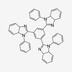 C1=CC2N=C(c3cc(C4=NC5C=CC=CC5N4c4ccccc4)cc(C4=NC5C=CC=CC5N4c4ccccc4)c3)N(c3ccccc3)C2C=C1